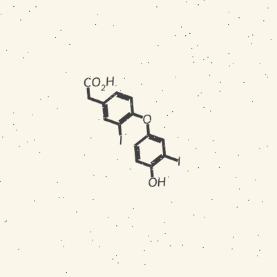 O=C(O)Cc1ccc(Oc2ccc(O)c(I)c2)c(I)c1